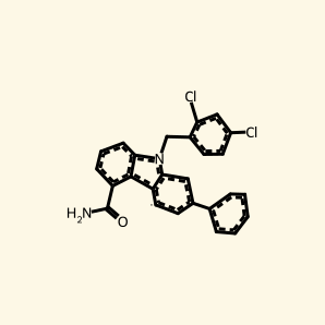 NC(=O)c1cccc2c1c1[c]cc(-c3ccccc3)cc1n2Cc1ccc(Cl)cc1Cl